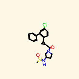 C[S+]([O-])NC1CCN(C(=O)C2CC2c2ccc(Cl)cc2-c2ccccc2)C1